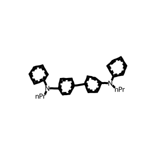 CCCN(c1ccccc1)c1ccc(-c2ccc(N(CCC)c3ccccc3)cc2)cc1